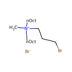 CCCCCCCC[N+](C)(CCCBr)CCCCCCCC.[Br-]